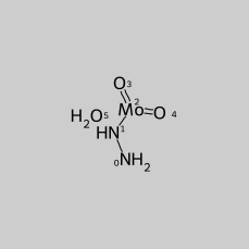 N[NH][Mo](=[O])=[O].O